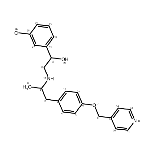 CC(Cc1ccc(OCc2ccncc2)cc1)NCC(O)c1cccc(Cl)c1